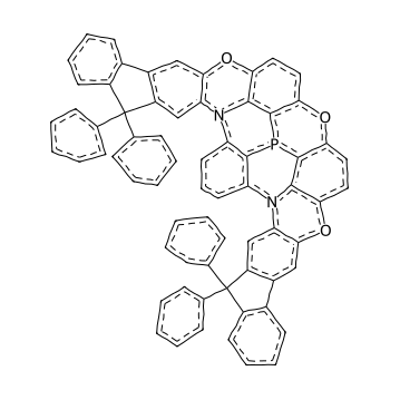 c1ccc(C2(c3ccccc3)c3ccccc3-c3cc4oc5ccc6oc7ccc8oc9cc%10c(cc9n9c%11cccc%12c%11p(c6c5n%12c4cc32)c7c89)C(c2ccccc2)(c2ccccc2)c2ccccc2-%10)cc1